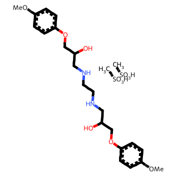 COc1ccc(OCC(O)CNCCNCC(O)COc2ccc(OC)cc2)cc1.CS(=O)(=O)O.CS(=O)(=O)O